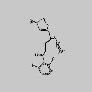 [N-]=[N+]=NC(CCC(=O)c1c(F)cccc1F)C1=CC(Br)CS1